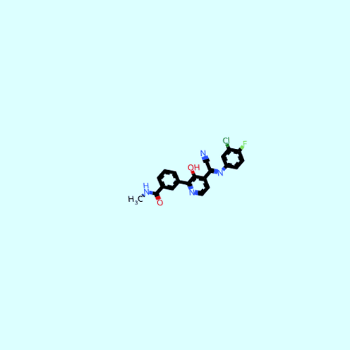 CNC(=O)c1cccc(-c2nccc(/C(C#N)=N/c3ccc(F)c(Cl)c3)c2O)c1